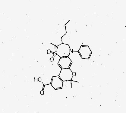 CCCCC1CN(c2ccccc2)c2cc3c(cc2S(=O)(=O)N1C)-c1cc(C(=O)O)ccc1C(C)(C)O3